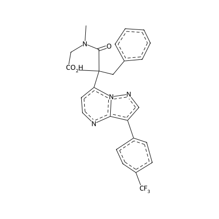 CN(CC(=O)O)C(=O)C(C)(Cc1ccccc1)c1ccnc2c(-c3ccc(C(F)(F)F)cc3)cnn12